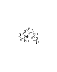 CC(C)(C)OC(=O)N[C@H]1CC[C@@H](Oc2cccc(O)c2Br)C1